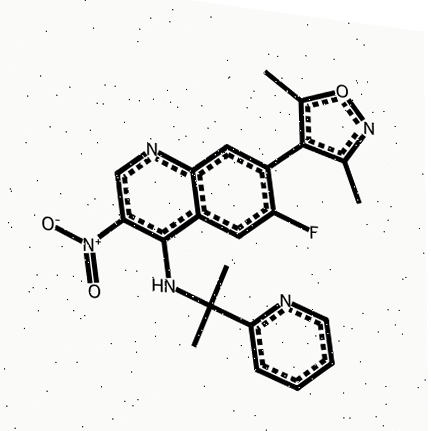 Cc1noc(C)c1-c1cc2ncc([N+](=O)[O-])c(NC(C)(C)c3ccccn3)c2cc1F